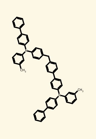 Cc1cccc(N(c2ccc(Cc3ccc(-c4ccc(N(c5ccc(-c6ccccc6)cc5)c5cccc(C)c5)cc4)cc3)cc2)c2ccc(-c3ccccc3)cc2)c1